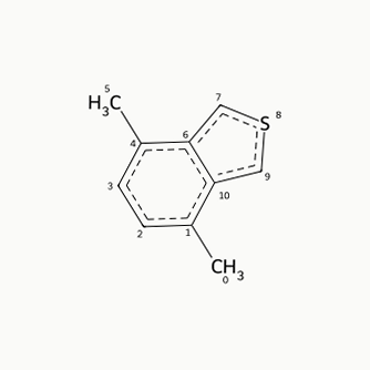 Cc1ccc(C)c2cscc12